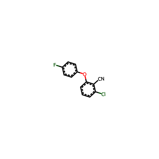 N#Cc1c(Cl)cccc1Oc1ccc(F)cc1